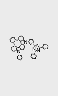 c1ccc(-c2nc(-c3ccccc3)nc(-c3cccc(-n4c5cccc6c7ccccc7c7cccc8c7c7c(c65)c4ccc7n8-c4ccccc4)c3)n2)cc1